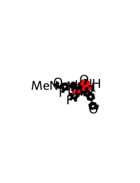 CNC(=O)Cc1ccc(-n2ccn(-c3c4c(nn3-c3cc(C)c(F)c(C)c3)C[C@H]3CCC[C@@H]4N3C(=O)c3cc4cc([C@H]5CCOC(C)(C)C5)ccc4n3[C@@]3(c4noc(=O)[nH]4)C[C@@H]3C)c2=O)cc1F